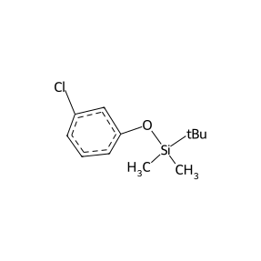 CC(C)(C)[Si](C)(C)Oc1cccc(Cl)c1